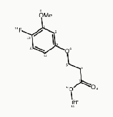 COc1cc(OCCC(=O)OC(C)C)ccc1F